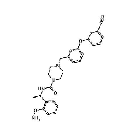 C=C(NC(=O)N1CCN(Cc2cccc(Oc3cccc(C#N)c3)c2)CC1)c1ccccc1ON